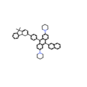 CC1(C)C2=CC=C(c3ccc(-c4c5ccc(N6CCCCC6)cc5c(-c5ccc6ccccc6c5)c5ccc(N6CCCCC6)cc45)cc3)CC2c2ccccc21